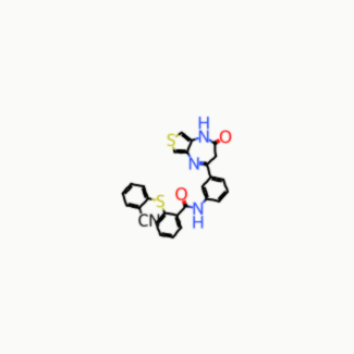 N#Cc1ccccc1Sc1ccccc1C(=O)Nc1cccc(C2=Nc3cscc3NC(=O)C2)c1